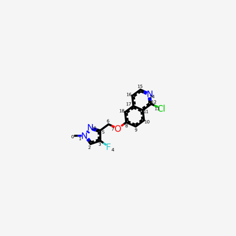 Cn1cc(F)c(COc2ccc3c(Cl)nccc3c2)n1